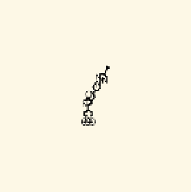 CS(=O)(=O)N1CC=C(c2cc3c(cn2)O[C@@H](C2CCN(c4ncc(C5CC5)cn4)CC2)C3)CC1